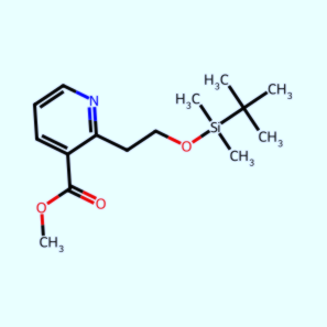 COC(=O)c1cccnc1CCO[Si](C)(C)C(C)(C)C